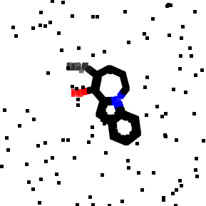 CCOC(=O)C1=C(O)c2cc3ccccc3n2CCC1